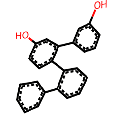 Oc1cccc(-c2cc(O)ccc2-c2ccccc2-c2ccccc2)c1